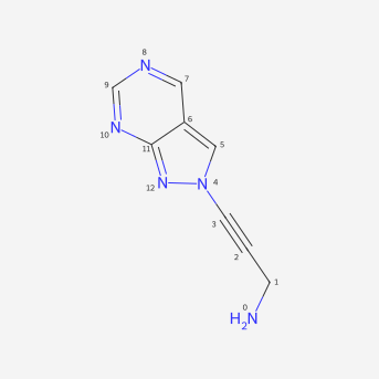 NCC#Cn1cc2cncnc2n1